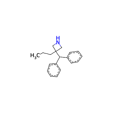 CCCC1(C(c2ccccc2)c2ccccc2)CNC1